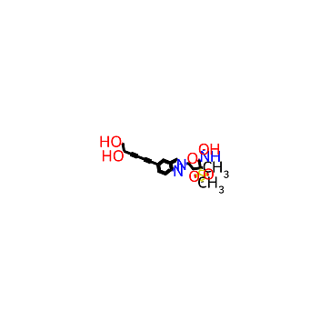 CC(CCn1cc2cc(C#CC#CC(O)CO)ccc2n1)(C(=O)NO)S(C)(=O)=O